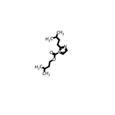 CC(C)CCOC(=O)n1ccnc1CCC(C)C